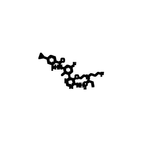 C=CC(=O)N(CCCF)CCOc1c(N)ncnc1-c1cc(F)cc(NC(=O)c2ccc(C3CC3)cc2F)c1C